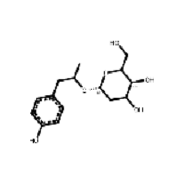 CC(Cc1ccc(O)cc1)O[C@H]1CC(O)[C@H](O)C(CO)O1